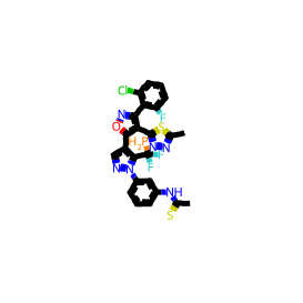 CC(=S)Nc1cccc(-n2ncc(-c3onc(-c4c(F)cccc4Cl)c3-c3nnc(C)s3)c2C(F)(F)P)c1